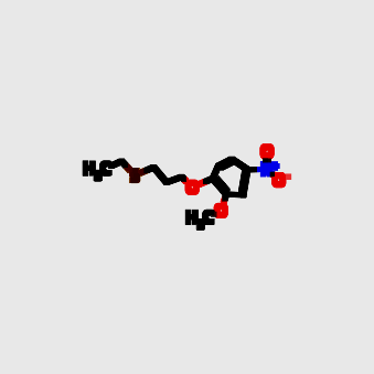 CCSCCCOc1ccc([N+](=O)[O-])cc1OC